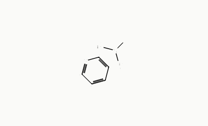 CCN(C(C)C)C(C)C.c1ccncc1